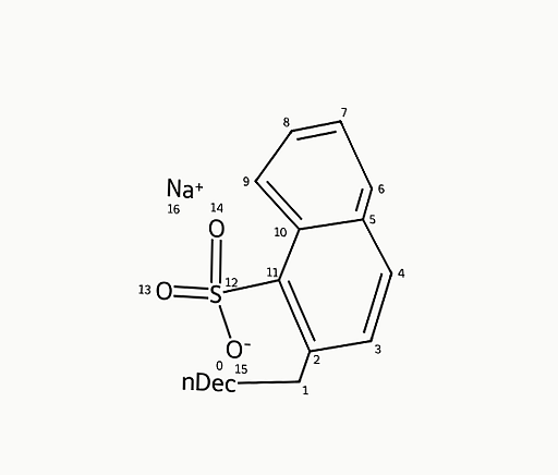 CCCCCCCCCCCc1ccc2ccccc2c1S(=O)(=O)[O-].[Na+]